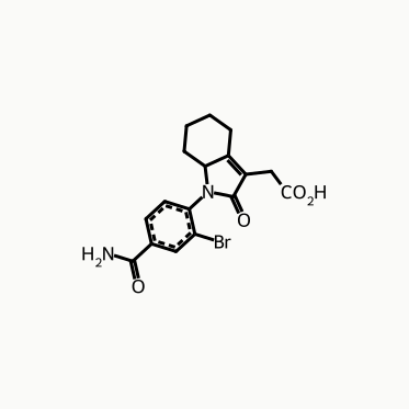 NC(=O)c1ccc(N2C(=O)C(CC(=O)O)=C3CCCCC32)c(Br)c1